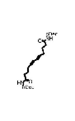 CCCCCCCCCCNC(=O)CCCC#CC#CCCCC(=O)NCCCCCCCCCC